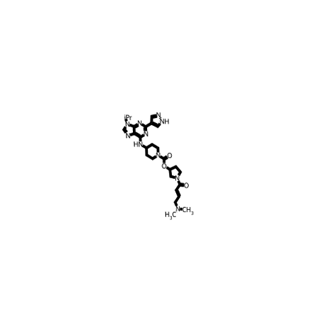 CC(C)n1cnc2c(NC3CCN(C(=O)OC4CCN(C(=O)/C=C/CN(C)C)C4)CC3)nc(-c3cn[nH]c3)nc21